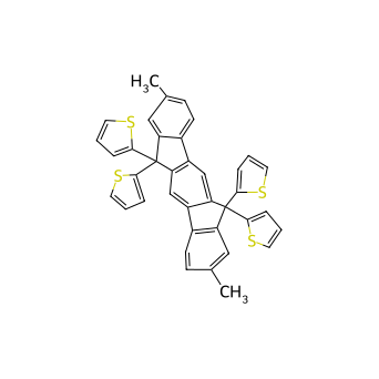 Cc1ccc2c(c1)C(c1cccs1)(c1cccs1)c1cc3c(cc1-2)C(c1cccs1)(c1cccs1)c1cc(C)ccc1-3